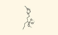 CCCC(CCN1C=CN(C)C1)[Si](OC)(OC)OC